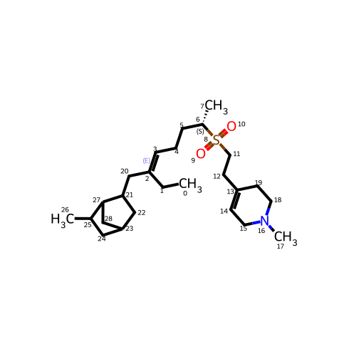 CC/C(=C\CC[C@H](C)S(=O)(=O)CCC1=CCN(C)CC1)CC1CC2CC(C)C1C2